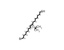 CN(C)C.SCCCCCCCCCCCCCCCCBr